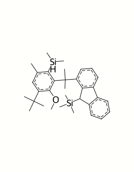 COc1c(C(C)(C)C)cc(C)c([SiH](C)C)c1C(C)(C)c1cccc2c1C([Si](C)(C)C)c1ccccc1-2